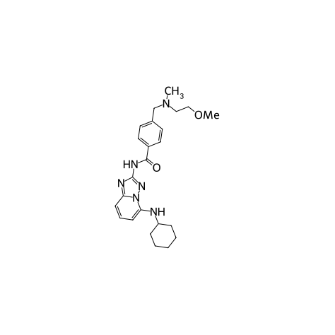 COCCN(C)Cc1ccc(C(=O)Nc2nc3cccc(NC4CCCCC4)n3n2)cc1